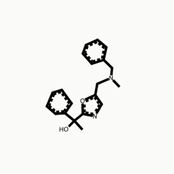 CN(Cc1ccccc1)Cc1cnc(C(C)(O)c2ccccc2)o1